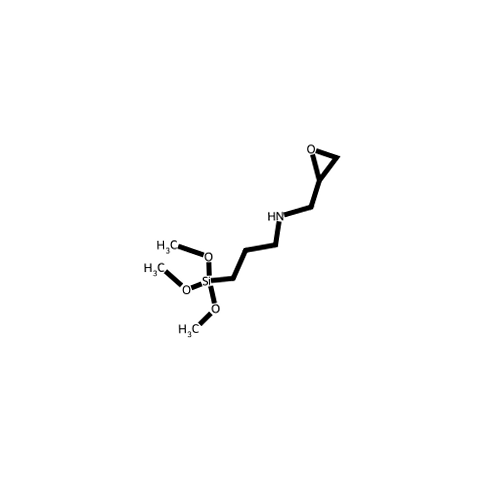 CO[Si](CCCNCC1CO1)(OC)OC